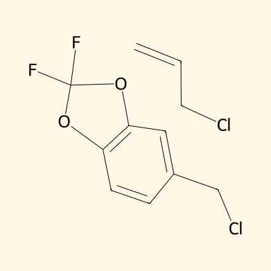 C=CCCl.FC1(F)Oc2ccc(CCl)cc2O1